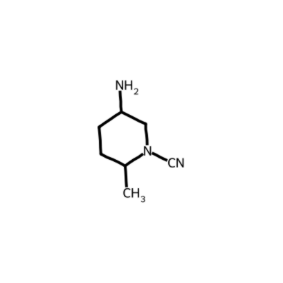 CC1CCC(N)CN1C#N